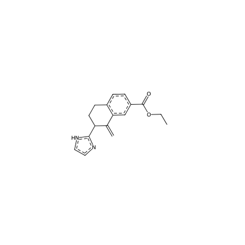 C=C1c2cc(C(=O)OCC)ccc2CCC1c1ncc[nH]1